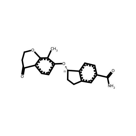 Cc1c(O[C@H]2CCc3cc(C(N)=O)ccc32)ccc2c1OCCC2=O